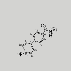 CCNC(=O)c1ccc(-c2ccc(F)cc2)cc1